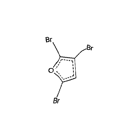 Brc1cc(Br)c(Br)o1